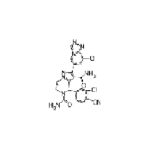 N#Cc1ccc(C2c3c(C(N)=O)c(-c4cc(Cl)c5nncn5c4)nn3CCN2C(N)=O)cc1Cl